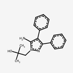 CC(C)(O)Cn1nc(-c2ccccc2)c(-c2ccccc2)c1N